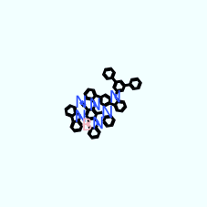 N#Cc1c2c3c(c(C#N)c1-n1c4ccccc4c4cc5c(cc41)c1ccccc1n5-c1cc(-c4ccccc4)cc(-c4ccccc4)c1)-n1c4ccccc4c4cccc(c41)B3c1ccccc1N2c1ccccc1